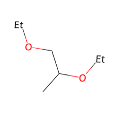 [CH2]COC(C)COCC